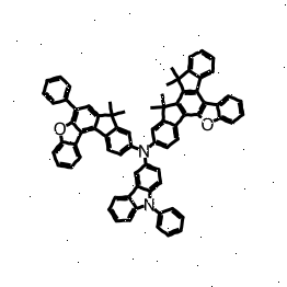 CC1(C)c2cc(N(c3ccc4c(c3)C(C)(C)c3c5c(c6c(oc7ccccc76)c3-4)-c3ccccc3C5(C)C)c3ccc4c(c3)c3ccccc3n4-c3ccccc3)ccc2-c2c1cc(-c1ccccc1)c1oc3ccccc3c21